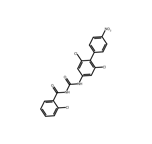 O=C(NC(=O)c1ccccc1Cl)Nc1cc(Cl)c(-c2ccc([N+](=O)[O-])cc2)c(Cl)c1